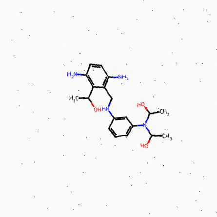 CC(O)c1c(N)ccc(N)c1CNc1cccc(N(C(C)O)C(C)O)c1